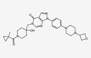 CC1(C(=O)N2CCC(O)(Cn3cnc4c(cnn4-c4ccc(N5CCN(C6COC6)CC5)cc4)c3=O)CC2)CC1